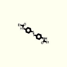 CCC(=O)Nc1ccc(SSc2ccc(NC(=O)CC)cc2)cc1